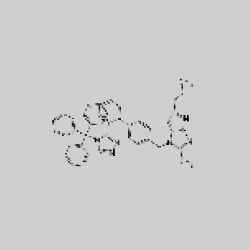 CCCc1cc2n(Cc3ccc(-c4ccccc4-c4nnnn4C(c4ccccc4)(c4ccccc4)c4ccccc4)cc3)c(C)nn2n1